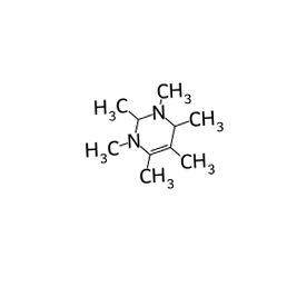 CC1=C(C)N(C)C(C)N(C)C1C